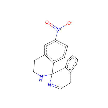 O=[N+]([O-])c1ccc2c(c1)CCNC21N=CCc2ccccc21